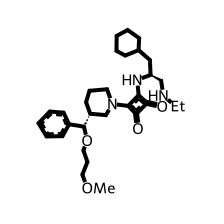 CCNC[C@H](CC1CCCCC1)Nc1c(N2CCC[C@@H](C(OCCCOC)c3ccccc3)C2)c(=O)c1=O